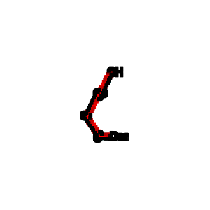 CCCCCCCCCCCCCCCC(=O)OCCCCCCCCCCCCCCCC(=O)OCCCCCCCCCCCCCCCC(=O)OC(C)OC(=O)CCCCCCCCCCCCCCCO